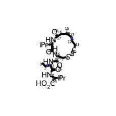 C/C=C(\NC(=O)[C@H]1CSSCC/C=C/[C@@H](C)CC(=O)N[C@H](C(C)C)C(=O)N1)C(=O)N[C@H](C(=O)O)C(C)C